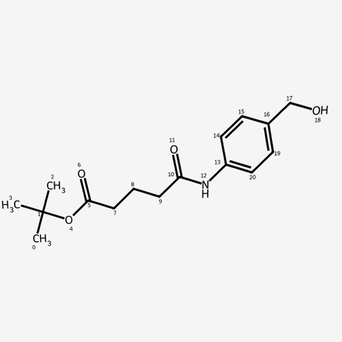 CC(C)(C)OC(=O)CCCC(=O)Nc1ccc(CO)cc1